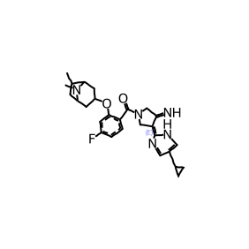 CC1CC2CC(Oc3cc(F)ccc3C(=O)N3CC(=N)/C(=C4/N=CC(C5CC5)=CN4)C3)CC1N2C